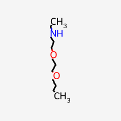 CCCCOCCCOCCCNCC